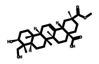 COC(=O)[C@@]1(C)CC[C@]2(C(=O)O)CC[C@]3(C)C(=CC[C@@H]4[C@@]5(C)CC[C@H](O)[C@@](C)(CO)[C@@H]5CC[C@]43C)[C@@H]2C1